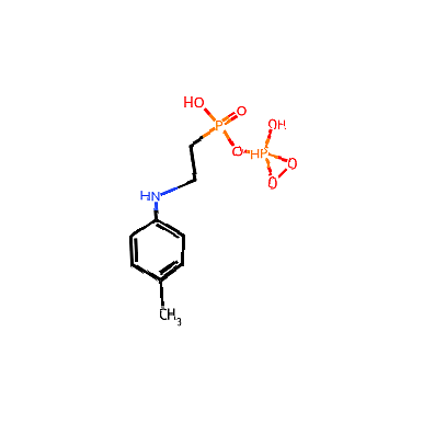 Cc1ccc(NCCP(=O)(O)O[PH]2(O)OO2)cc1